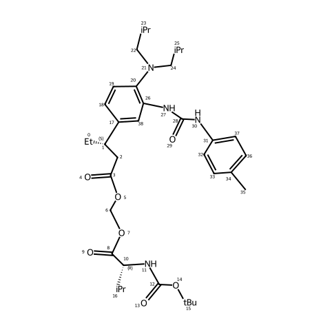 CC[C@@H](CC(=O)OCOC(=O)[C@H](NC(=O)OC(C)(C)C)C(C)C)c1ccc(N(CC(C)C)CC(C)C)c(NC(=O)Nc2ccc(C)cc2)c1